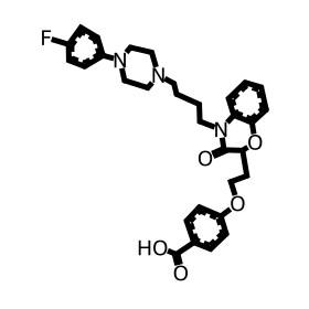 O=C(O)c1ccc(OCCC2Oc3ccccc3N(CCCCN3CCN(c4ccc(F)cc4)CC3)C2=O)cc1